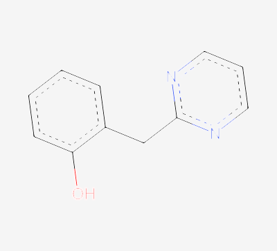 Oc1ccccc1Cc1ncccn1